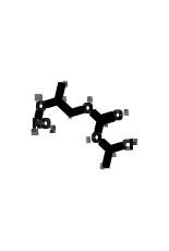 CC(Cl)OC(=O)OCC(C)O[N+](=O)[O-]